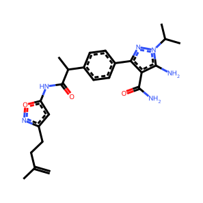 C=C(C)CCc1cc(NC(=O)C(C)c2ccc(-c3nn(C(C)C)c(N)c3C(N)=O)cc2)on1